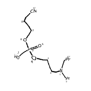 CC(C)N(CCOP(=O)(O)OCCC#N)C(C)C